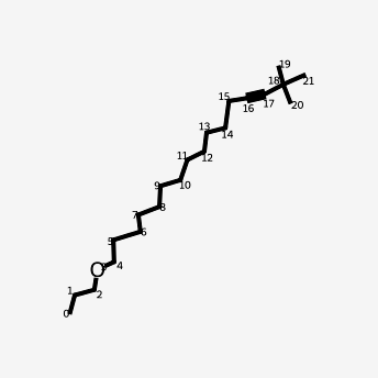 CCCOCCCCCCCCCCCCC#CC(C)(C)C